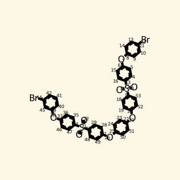 O=S(=O)(c1ccc(Oc2ccc(Br)cc2)cc1)c1ccc(Oc2ccc(Oc3ccc(S(=O)(=O)c4ccc(Oc5cccc(Br)c5)cc4)cc3)cc2)cc1